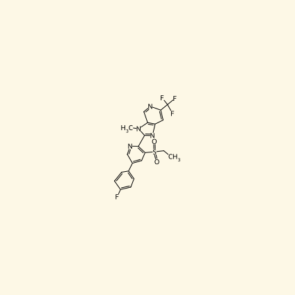 CCS(=O)(=O)c1cc(-c2ccc(F)cc2)cnc1-c1nc2cc(C(F)(F)F)ncc2n1C